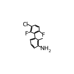 Cc1c(N)cccc1-c1c(F)ccc(Cl)c1F